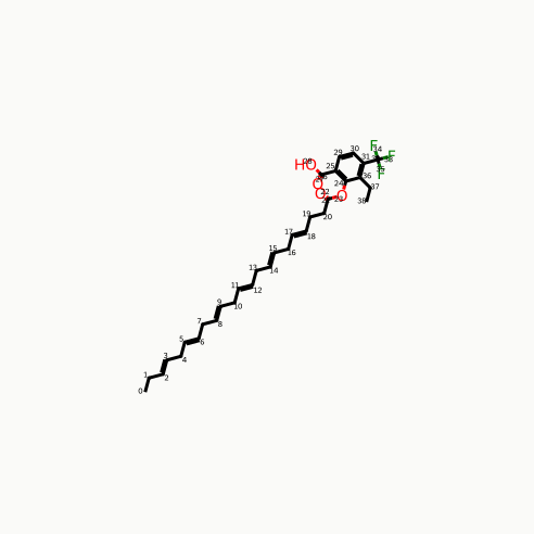 CCC=CCC=CCC=CCC=CCC=CCC=CCCC(=O)Oc1c(C(=O)O)ccc(C(F)(F)F)c1CC